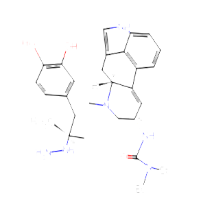 CCN(CC)C(=O)N[C@H]1C=C2c3cccc4[nH]cc(c34)C[C@H]2N(C)C1.C[C@@](Cc1ccc(O)c(O)c1)(NN)C(=O)O